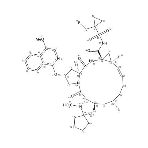 COc1cnc(O[C@@H]2C[C@H]3C(=O)N[C@]4(C(=O)NS(=O)(=O)C5(CF)CC5)C[C@H]4C=CCC[C@H](C)C[C@@H](C)[C@H](N(C(=O)O)C4(C(F)(F)F)CCOC4)C(=O)N3C2)c2ccccc12